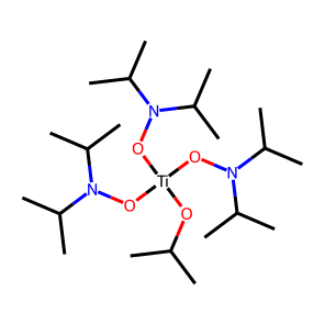 CC(C)[O][Ti]([O]N(C(C)C)C(C)C)([O]N(C(C)C)C(C)C)[O]N(C(C)C)C(C)C